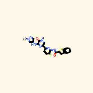 CCn1cc(Nc2nc(-c3ccc(F)c(NC(=O)c4cc5c(s4)C4CCC5C4)n3)cn(C)c2=O)cn1